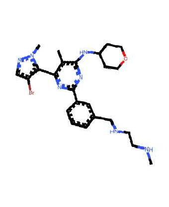 CNCCNCc1cccc(-c2nc(NC3CCOCC3)c(C)c(-c3c(Br)cnn3C)n2)c1